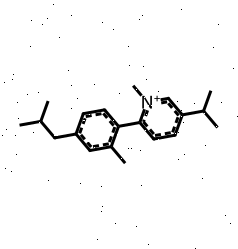 Cc1cc(CC(C)C)ccc1-c1ccc(C(C)C)c[n+]1C